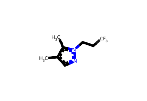 Cc1cnn(CCC(F)(F)F)c1C